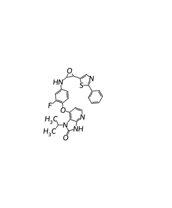 CC(C)n1c(=O)[nH]c2nccc(Oc3ccc(NC4OC4c4cnc(-c5ccccc5)s4)cc3F)c21